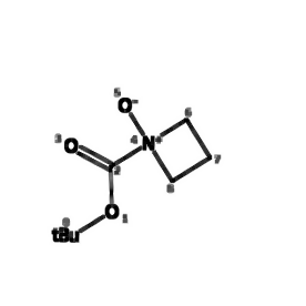 CC(C)(C)OC(=O)[N+]1([O-])CCC1